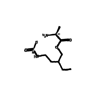 CCC(CCN[PH](=O)Cl)COC(=O)[C@H](C)N